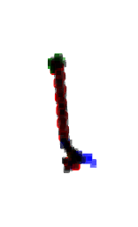 CCCN(OCC)C(=O)C1=Cc2sc(C#CC3CN(CCOCCOCCOCCOCCOCCOCCOCCOCCOCCOCCC(=O)Oc4c(F)c(F)cc(F)c4F)C3)cc2N=C(N)C1